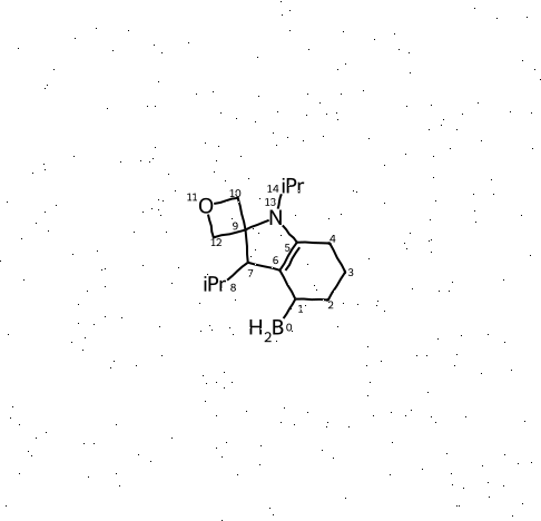 BC1CCCC2=C1C(C(C)C)C1(COC1)N2C(C)C